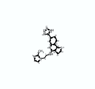 Cc1nccn1CCNc1nc2cc(-c3nnn[nH]3)ccc2c2sccc12